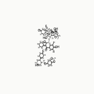 CC1(C)O[C@@H]2C[C@H]3[C@@H]4C[C@H](F)C5=CC(=O)C=C[C@]5(C)[C@@]4(F)[C@@H](O)C[C@]3(C)[C@]2(C(=O)CO)O1.CCc1oc2ccccc2c1C(=O)c1cc(I)c(O)c(I)c1.Fc1ccc([C@@H]2CCNC[C@H]2COc2ccc3c(c2)OCO3)cc1